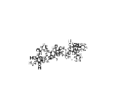 CC1O[C@@H](OC[C@@H](C)CCC(=O)[C@@H](C)C2C(=O)CC3C4CCC5CC(O[C@@H]6OC(COC(=O)c7ccccc7)[C@@H](O)[C@H](C)C6O)CCC5(C)C4CCC32C)C(OC(=O)c2ccccc2)[C@@H](OC(=O)c2ccccc2)[C@H]1C